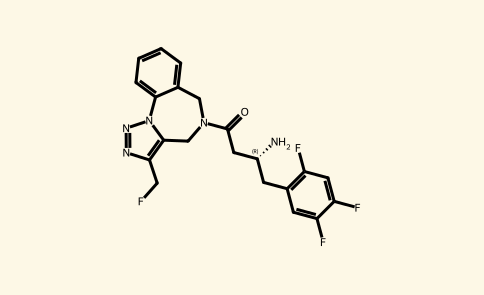 N[C@@H](CC(=O)N1Cc2ccccc2-n2nnc(CF)c2C1)Cc1cc(F)c(F)cc1F